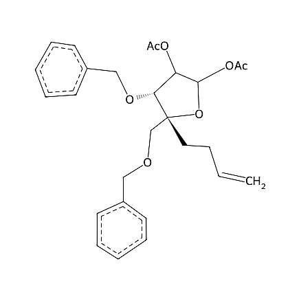 C=CCC[C@]1(COCc2ccccc2)OC(OC(C)=O)C(OC(C)=O)[C@H]1OCc1ccccc1